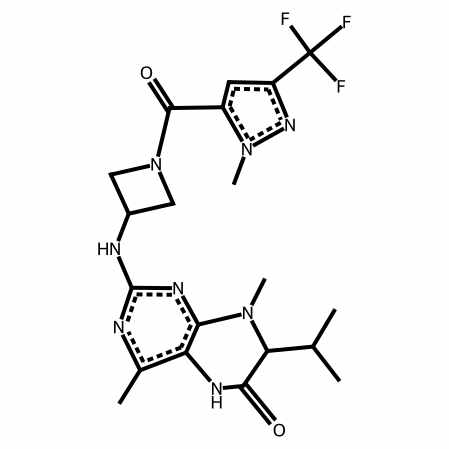 Cc1nc(NC2CN(C(=O)c3cc(C(F)(F)F)nn3C)C2)nc2c1NC(=O)C(C(C)C)N2C